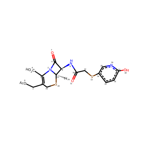 CC(=O)OCC1=C(C(=O)O)N2C(=O)[C@@H](NC(=O)CSc3ccc(O)nc3)[C@H]2SC1